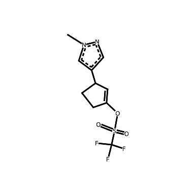 Cn1cc(C2C=C(OS(=O)(=O)C(F)(F)F)CC2)cn1